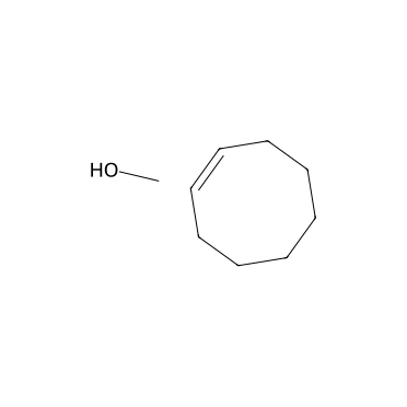 C1=CCCCCCC1.CO